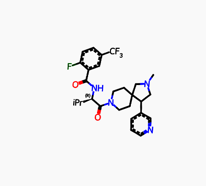 CC(C)[C@@H](NC(=O)c1cc(C(F)(F)F)ccc1F)C(=O)N1CCC2(CC1)CN(C)CC2c1cccnc1